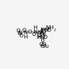 CC(C)[C@H](NCCNC(=O)CCOCCNC(=O)CCN1C(=O)C=CC1=O)C(=O)N[C@@H](CCCNC(N)=O)C(=O)Nc1ccc(C(=O)OC(C)(C)C)cc1